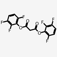 O=C(CC(=O)Oc1c(F)ccc(F)c1F)Oc1c(F)ccc(F)c1F